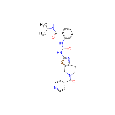 CC(C)NC(=O)c1ccccc1NC(=O)Nc1nc2c(s1)CN(C(=O)c1ccncc1)CC2